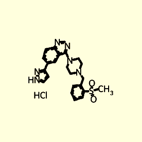 CS(=O)(=O)c1ccccc1CN1CCN(c2ncnc3ccc(-c4cc[nH]n4)cc23)CC1.Cl